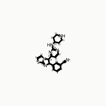 N#Cc1cccc(C2N=C3SC=CN3C2c2ccnc(NC3CCNCC3)n2)c1